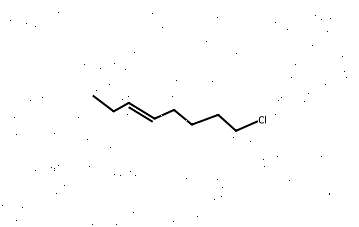 CC/C=C/CCCCCl